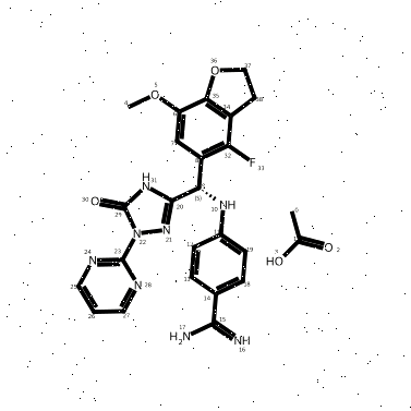 CC(=O)O.COc1cc([C@H](Nc2ccc(C(=N)N)cc2)c2nn(-c3ncccn3)c(=O)[nH]2)c(F)c2c1OCC2